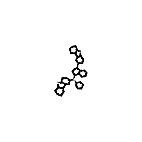 c1ccc(N(c2ccc3sc4ccccc4c3c2)c2ccc(-c3ccc4sc5ccccc5c4c3)c3ccccc23)cc1